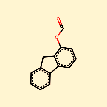 O=COc1cccc2c1Cc1ccccc1-2